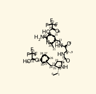 CC[C@H]1N[C@@H](C(=O)N[C@@H](C)C(=O)NCc2ccc(N)nc2C)C[C@@H]1Cc1ccccc1.O=C(O)C(F)(F)F.O=C(O)C(F)(F)F